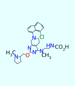 CN(CCNC(=O)O)c1nc(OCC2CCCN2C)nc2c1CCN(c1cccc3cccc(Cl)c13)C2